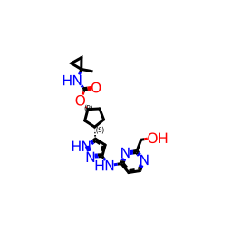 CC1(NC(=O)O[C@@H]2CC[C@H](c3cc(Nc4ccnc(CO)n4)n[nH]3)C2)CC1